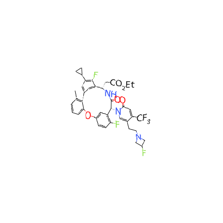 CCOC(=O)C[C@@H]1NC(=O)[C@H](n2cc(CCN3CC(F)C3)c(C(F)(F)F)cc2=O)c2cc(ccc2F)Oc2cccc(C)c2-c2cc(C3CC3)c(F)c1c2